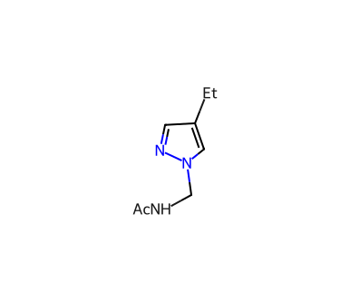 CCc1cnn(CNC(C)=O)c1